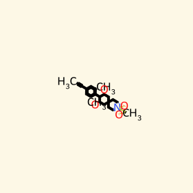 CC#Cc1cc(C)c(C2C(=O)CC3(CCN(S(C)(=O)=O)CC3)CC2=O)c(C)c1